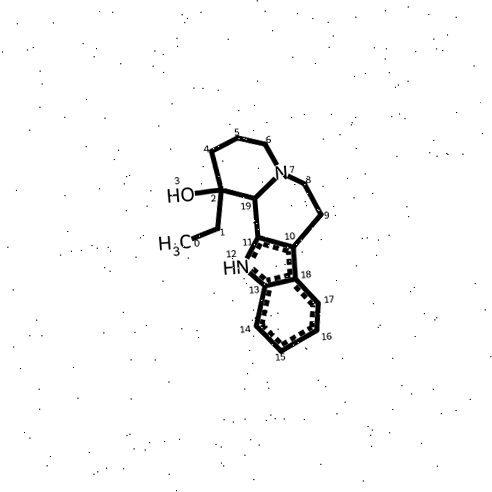 CCC1(O)CCCN2CCc3c([nH]c4ccccc34)C21